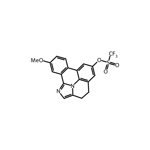 COc1ccc2c(c1)c1ncc3n1c1c(cc(OS(=O)(=O)C(F)(F)F)cc21)CC3